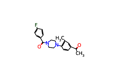 CC(=O)c1ccc(N2CCN(C(=O)c3ccc(F)cc3)CC2)c(C)c1